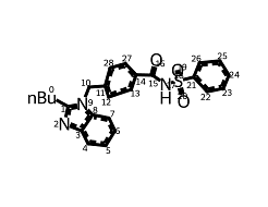 CCCCc1nc2ccccc2n1Cc1ccc(C(=O)NS(=O)(=O)c2ccccc2)cc1